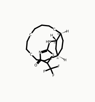 O=C1N=C(N[C@H]2C[C@@H]3CCCCCCCCCCC[C@H]2CC3)SC1C(F)(F)F